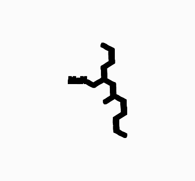 C\C=C/C=C\C(C)=C\C(=C/C=C\C)CNC